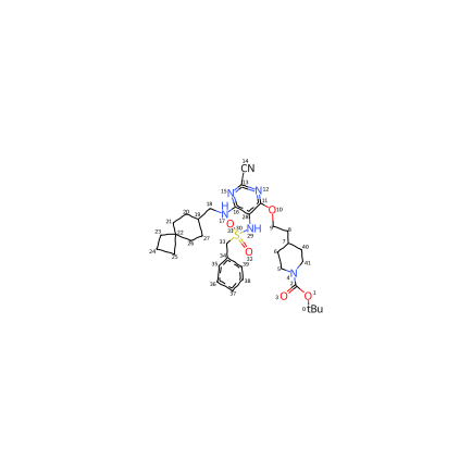 CC(C)(C)OC(=O)N1CCC(CCOc2nc(C#N)nc(NCC3CCC4(CCC4)CC3)c2NS(=O)(=O)Cc2ccccc2)CC1